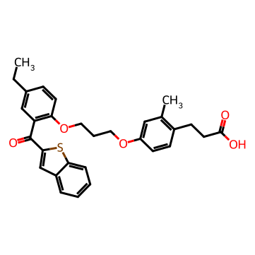 CCc1ccc(OCCCOc2ccc(CCC(=O)O)c(C)c2)c(C(=O)c2cc3ccccc3s2)c1